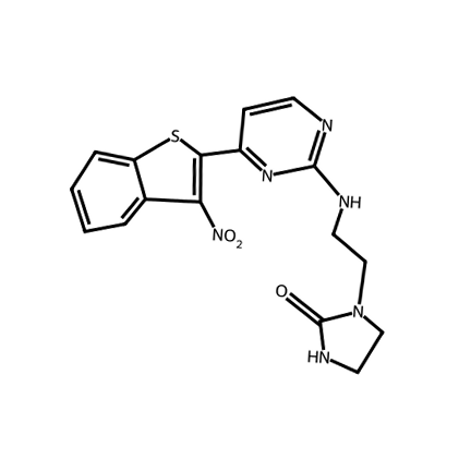 O=C1NCCN1CCNc1nccc(-c2sc3ccccc3c2[N+](=O)[O-])n1